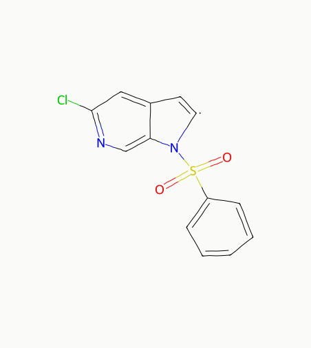 O=S(=O)(c1ccccc1)n1[c]cc2cc(Cl)ncc21